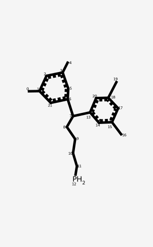 Cc1cc(C)cc(C(CCCCP)c2cc(C)cc(C)c2)c1